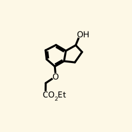 CCOC(=O)COc1cccc2c1CCC2O